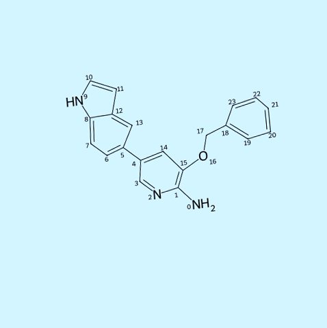 Nc1ncc(-c2ccc3[nH]ccc3c2)cc1OCc1ccccc1